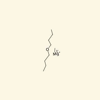 CCCCOCCCC.[CH3][Mg+].[I-]